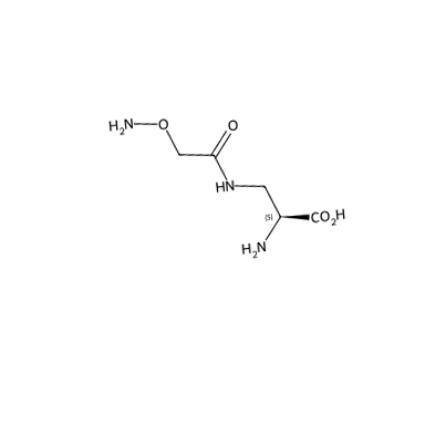 NOCC(=O)NC[C@H](N)C(=O)O